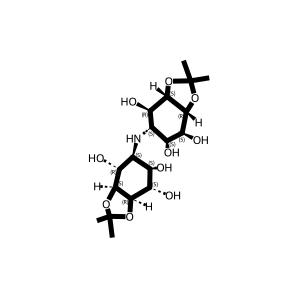 CC1(C)O[C@@H]2[C@@H](O)[C@@H](O)[C@H](N[C@H]3[C@H](O)[C@H](O)[C@H]4OC(C)(C)O[C@H]4[C@@H]3O)[C@@H](O)[C@@H]2O1